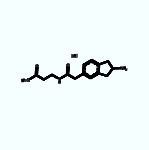 COC(=O)CCNC(=O)Cc1ccc2c(c1)CC(N)C2.Cl